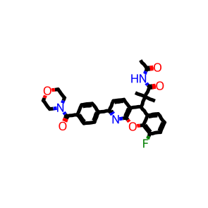 CC(=O)NC(=O)C(C)(C)C1c2ccc(-c3ccc(C(=O)N4CCOCC4)cc3)nc2Oc2c(F)cccc21